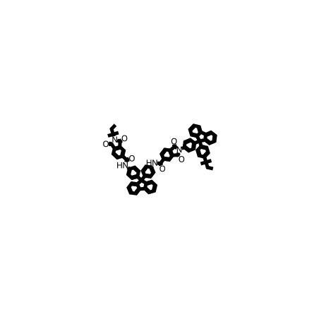 CCC(C)(C)c1ccc(C2(c3ccc(N4C(=O)c5ccc(C(=O)Nc6ccc(C7(c8ccc(NC(=O)c9ccc%10c(c9)C(=O)N(C(C)(C)CC)C%10=O)cc8)c8ccccc8-c8ccccc87)cc6)cc5C4=O)cc3)c3ccccc3-c3ccccc32)cc1